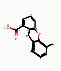 Cc1cccc2c1Oc1cccc(C(=O)O)c1C2